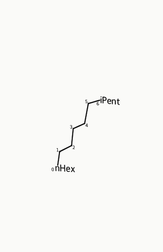 CCCCCCCCCCCC(C)CCC